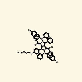 Cc1ccccc1-c1c2/c(=C(\C#N)c3nc4ccc(Cl)cc4s3)n(B(c3ccccc3)c3ccccc3)c(-c3ccc(OCCCS(=O)(=O)O)cc3)c2/c(=C(\C#N)c2nc3ccc(Cl)cc3s2)n1B(c1ccccc1)c1ccccc1